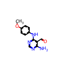 COc1ccc(Nc2ncnc(N)c2C=O)cc1